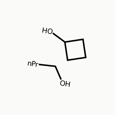 CCCCO.OC1CCC1